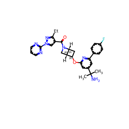 CCc1nn(-c2ncccn2)cc1C(=O)N1C[C@@H]2[C@H]1C[C@H]2Oc1cc(C(C)(C)N)cc(-c2ccc(F)cc2)n1